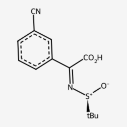 CC(C)(C)[S@+]([O-])/N=C(\C(=O)O)c1cccc(C#N)c1